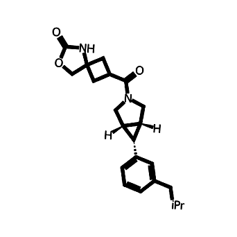 CC(C)Cc1cccc([C@@H]2[C@@H]3CN(C(=O)C4CC5(COC(=O)N5)C4)C[C@@H]32)c1